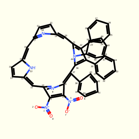 O=[N+]([O-])C1=C([N+](=O)[O-])c2nc1cc1ccc(cc3nc(cc4c(-c5ccccc5)c(-c5ccccc5)c(c2-c2ccccc2)n4-c2ccccc2)C=C3)[nH]1